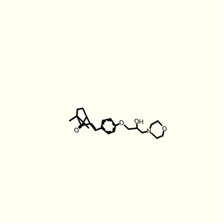 CC12CCC(C(=Cc3ccc(OCC(O)CN4CCOCC4)cc3)C1=O)C2(C)C